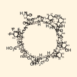 CCCC[C@H]1C(=O)N2C[C@H](O)C[C@@H]2C(=O)N[C@@H](CC(=O)O)C(=O)N[C@@H](C(C)C)C(=O)N(C)[C@@H](Cc2ccccc2)C(=O)N[C@@H](Cc2ccc(O)cc2)C(=O)N2CCOC[C@@H]2C(=O)N[C@@H](Cc2c[nH]c3ccccc23)C(=O)N[C@@H](Cc2ccc(O)cc2)C(=O)N[C@@H](CC(C)C)C(=O)N[C@H](C(=O)NCC(N)=O)CSCC(=O)N[C@@H](Cc2cc(F)c(F)c(F)c2)C(=O)N(C)[C@@H](CCC(=O)O)C(=O)N1C